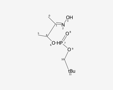 CC(=NO)C(C)O[PH](=O)OCC(C)(C)C